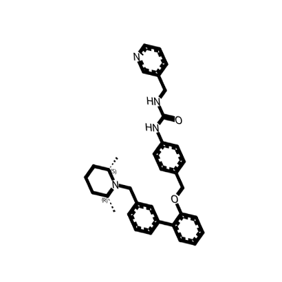 C[C@@H]1CCC[C@H](C)N1Cc1cccc(-c2ccccc2OCc2ccc(NC(=O)NCc3cccnc3)cc2)c1